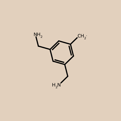 [CH2]c1cc(CN)cc(CN)c1